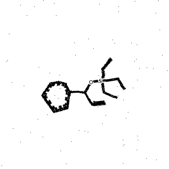 C=CC(O[Si](CC)(CC)CC)c1ccccc1